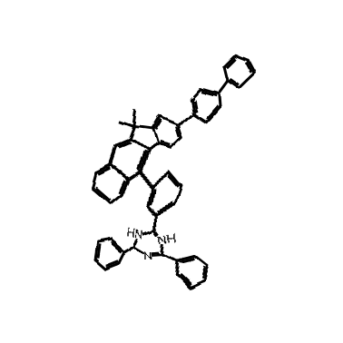 CC1(C)c2cc(-c3ccc(-c4ccccc4)cc3)ccc2-c2c1cc1ccccc1c2-c1cccc(C2NC(c3ccccc3)=NC(c3ccccc3)N2)c1